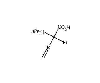 C=BC(CC)(CCCCC)C(=O)O